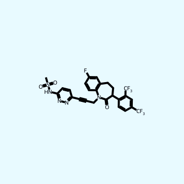 CS(=O)(=O)Nc1ccc(C#CCN2C(=O)C(c3ccc(C(F)(F)F)cc3C(F)(F)F)CCc3cc(F)ccc32)nn1